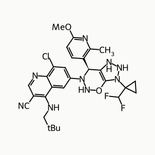 COc1ccc([C@H]2C3=C(ONN2c2cc(Cl)c4ncc(C#N)c(NCC(C)(C)C)c4c2)N(C2(C(F)F)CC2)NN3)c(C)n1